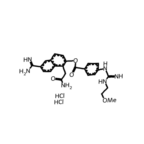 COCCNC(=N)Nc1ccc(C(=O)Oc2ccc3cc(C(=N)N)ccc3c2CC(N)=O)cc1.Cl.Cl